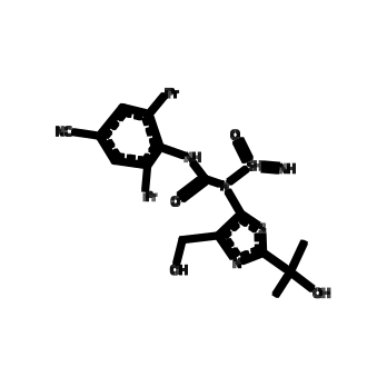 CC(C)c1cc(C#N)cc(C(C)C)c1NC(=O)N(c1sc(C(C)(C)O)nc1CO)[SH](=N)=O